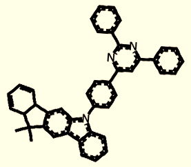 CC1(C)c2cc3c4ccccc4n(-c4ccc(-c5cc(-c6ccccc6)nc(-c6ccccc6)n5)cc4)c3cc2C2C=CC=CC21